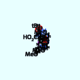 COc1ccc(CN(Cc2ccc(OC)cc2)S(=O)(=O)c2c([S+]([O-])N[C@H]3C(C(C)(C)C)N(C(=O)O)C[C@H]3NC(=O)OC(C)(C)C)ccc(I)c2-c2nnnn2Cc2ccc(OC)cc2)cc1